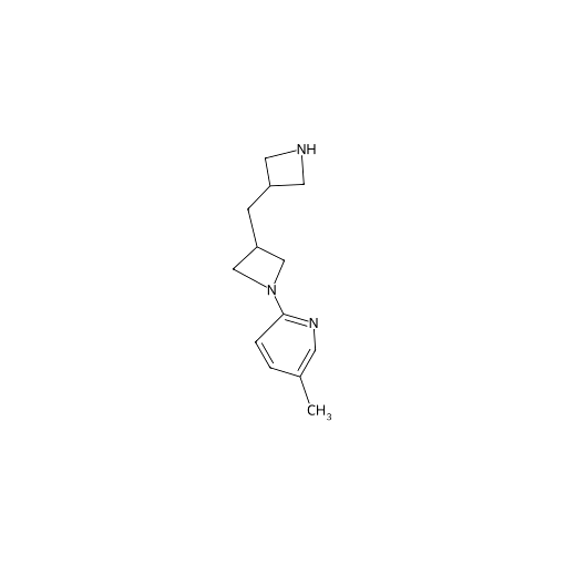 Cc1ccc(N2CC(CC3CNC3)C2)nc1